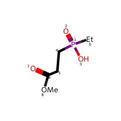 CCP(=O)(O)CCC(=O)OC